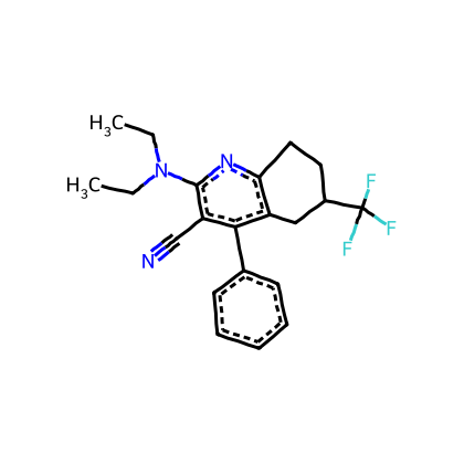 CCN(CC)c1nc2c(c(-c3ccccc3)c1C#N)CC(C(F)(F)F)CC2